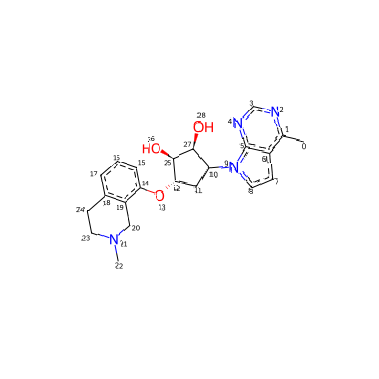 Cc1ncnc2c1ccn2C1C[C@H](Oc2cccc3c2CN(C)CC3)[C@@H](O)[C@H]1O